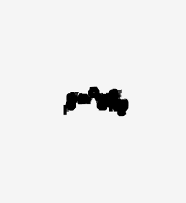 O=C(/C=C/c1cc2c(cc1[NH+]([O-])O)OCO2)NC[C@@H]1CCCC[C@H]1CN1CCC(c2noc3cc(F)ccc23)CC1